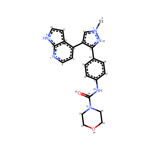 CCn1cc(-c2ccnc3[nH]ccc23)c(-c2ccc(NC(=O)N3CCOCC3)cc2)n1